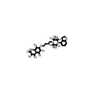 [2H]c1c(OCCCCN2C([2H])([2H])C([2H])([2H])N(c3cccc4c3CCS4)C([2H])([2H])C2([2H])[2H])c([2H])c2[nH]c(=O)c([2H])c([2H])c2c1[2H]